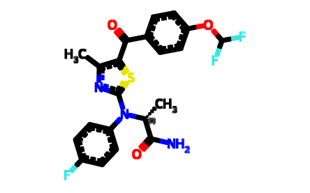 Cc1nc(N(c2ccc(F)cc2)[C@H](C)C(N)=O)sc1C(=O)c1ccc(OC(F)F)cc1